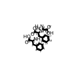 NC(Cc1ccccc1)C(=O)O.NC(Cc1ccccc1)C(=O)O.NCC(=O)O